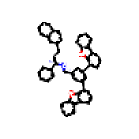 C(/Cc1ccc2ccccc2c1)=C(/N=C/c1cc(-c2cccc3c2oc2ccccc23)cc(-c2cccc3c2oc2ccccc23)c1)c1ccccc1